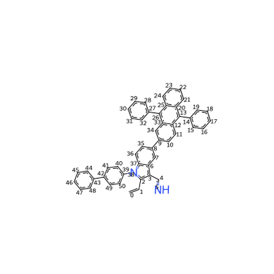 C=Cc1c(C=N)c2cc(-c3ccc4c(-c5ccccc5)c5ccccc5c(-c5ccccc5)c4c3)ccc2n1-c1ccc(-c2ccccc2)cc1